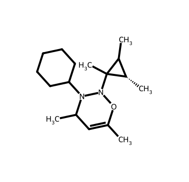 CC1=CC(C)N(C2CCCCC2)N(C2(C)C(C)[C@@H]2C)O1